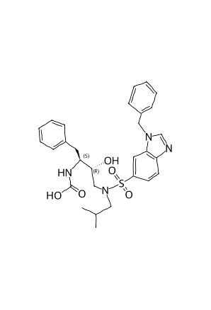 CC(C)CN(C[C@@H](O)[C@H](Cc1ccccc1)NC(=O)O)S(=O)(=O)c1ccc2ncn(Cc3ccccc3)c2c1